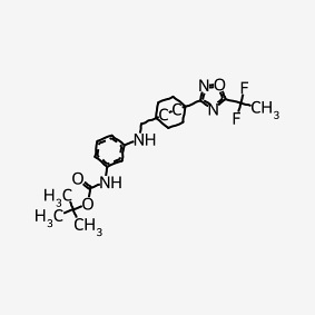 CC(C)(C)OC(=O)Nc1cccc(NCC23CCC(c4noc(C(C)(F)F)n4)(CC2)CC3)c1